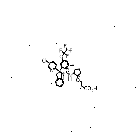 O=C(O)CCO[C@@H]1CCC[C@@H]1NC(=O)N[C@@](Cc1ccccc1)(c1cc(F)cc(OC(F)(F)C(F)F)c1)c1ccc(Cl)cn1